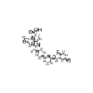 CC(c1nc2ccc(C(=O)O)nc2n1C[C@@H]1CCO1)N1CCC(c2cccc(OCc3cc(Cl)ccc3F)n2)CC1